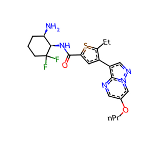 CCCOc1cnc2c(-c3cc(C(=O)N[C@@H]4[C@H](N)CCCC4(F)F)sc3CC)cnn2c1